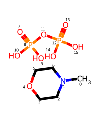 CN1CCOCC1.O=P(O)(O)OP(=O)(O)O